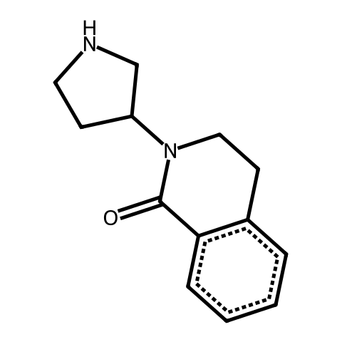 O=C1c2ccccc2CCN1C1CCNC1